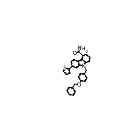 NC(=O)c1cccc2c1c1[c]cc(-c3cccs3)cc1n2Cc1ccc(OCc2ccccc2)cc1